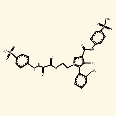 Cc1c(C(=O)Nc2ccc(S(C)(=O)=O)cc2)cn(CCOC(=O)C(=O)NNc2ccc(S(C)(=O)=O)cc2)c1-c1ccccc1C(F)(F)F